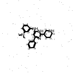 CN(C)c1cccc(NC2=CC(c3ccccc3)=NC(C3CCCNC3)N2)c1